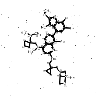 C=Nc1sc2c(F)c(F)cc(-c3ncc4c(N(C)CC5(N(C)C)CCC5)nc(OCC5(CN6C[C@H]7OCC76)CC5)nc4c3F)c2c1C#N